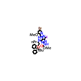 CCC[C@@H](CCO[Si](c1ccccc1)(c1ccccc1)C(C)(C)C)Nc1nc(NC(=O)OC)nc2c(I)nn(Cc3ncc(Br)cc3OC)c12